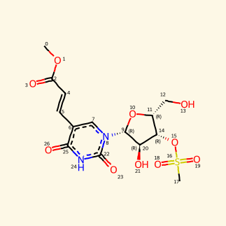 COC(=O)C=Cc1cn([C@@H]2O[C@H](CO)[C@H](OS(C)(=O)=O)[C@H]2O)c(=O)[nH]c1=O